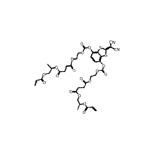 C=CC(=O)OCC(C)OC(=O)CCC(=O)OCCOC(=O)Oc1ccc(OC(=O)OCCOC(=O)CCC(=O)OCC(C)OC(=O)C=C)c2c1SC(=C(C#N)C#N)S2